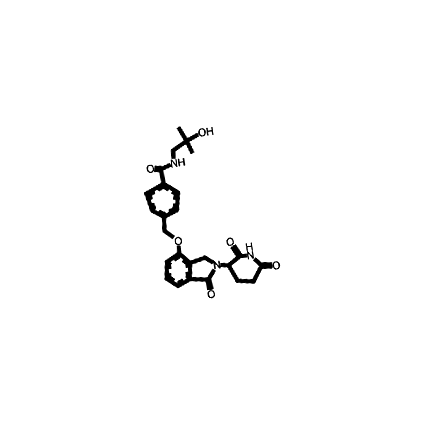 CC(C)(O)CNC(=O)c1ccc(COc2cccc3c2CN(C2CCC(=O)NC2=O)C3=O)cc1